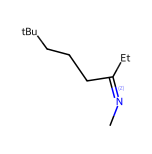 CC/C(CCCC(C)(C)C)=N/C